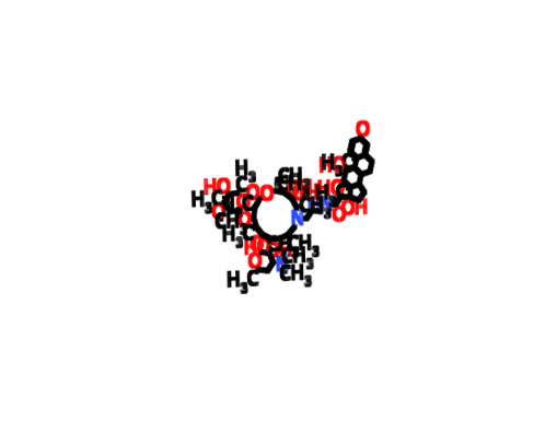 CC[C@H]1OC(=O)[C@H](C)[C@@H](O[C@@H]2C[C@](C)(OC)[C@H](O)C(C)O2)[C@H](C)[C@@H](O[C@@H]2O[C@H](C)C[C@@H](N(C)C)[C@H]2O)[C@](C)(O)C[C@@H](C)CN(CCCNC(=O)C(O)[C@@]2(O)CCC3C4CCC5=CC(=O)C=C[C@]5(C)C4[C@@H](O)C[C@@]32C)[C@H](C)[C@@H](O)[C@]1(C)O